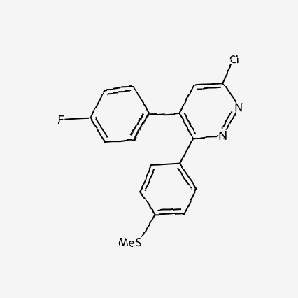 CSc1ccc(-c2nnc(Cl)cc2-c2ccc(F)cc2)cc1